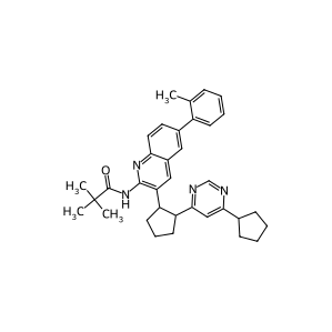 Cc1ccccc1-c1ccc2nc(NC(=O)C(C)(C)C)c(C3CCCC3c3cc(C4CCCC4)ncn3)cc2c1